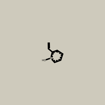 C=Cc1cccc[n+]1O